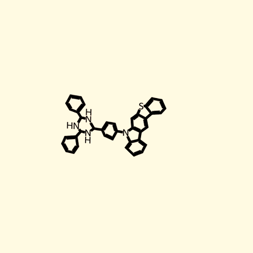 c1ccc(C2NC(c3ccccc3)NC(c3ccc(-n4c5ccccc5c5cc6c(cc54)sc4ccccc46)cc3)N2)cc1